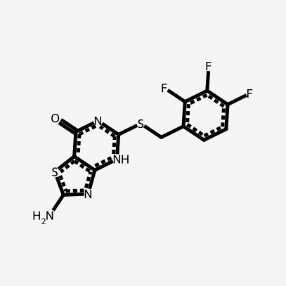 Nc1nc2[nH]c(SCc3ccc(F)c(F)c3F)nc(=O)c2s1